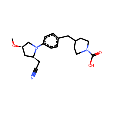 CO[C@@H]1C[C@H](CC#N)N(c2ccc(CC3CCN(C(=O)O)CC3)cc2)C1